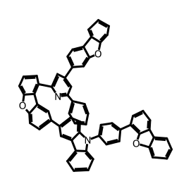 c1ccc(-c2cc(-c3ccc4c(c3)oc3ccccc34)cc(-c3cccc4oc5ccc(-c6ccc7c(c6)c6ccccc6n7-c6ccc(-c7cccc8c7oc7ccccc78)cc6)cc5c34)n2)cc1